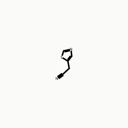 N#CCc1cncs1